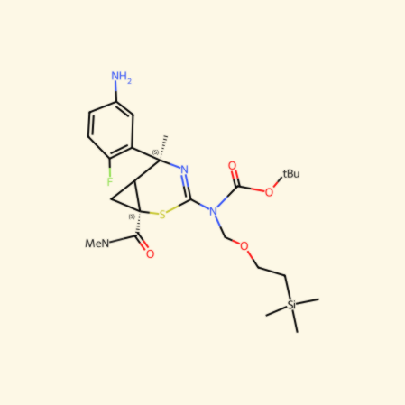 CNC(=O)[C@]12CC1[C@@](C)(c1cc(N)ccc1F)N=C(N(COCC[Si](C)(C)C)C(=O)OC(C)(C)C)S2